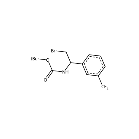 CC(C)(C)OC(=O)NC(CBr)c1cccc(C(F)(F)F)c1